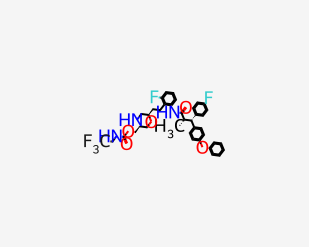 C[C@H](C(=O)Nc1cccc(F)c1CC[C@@H]1CN[C@H](COC(=O)NCC(F)(F)F)CO1)[C@H](c1ccc(F)cc1)c1ccc(Oc2ccccc2)cc1